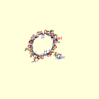 C/C=C/C[C@@H](C)C[C@H]1C(=O)N[C@@H](CC)C(=O)N(C)[C@H](CSCCN2CCNCC2)C(=O)N(C)[C@@H](CC(C)(C)O)C(=O)N[C@H](C(C)C)C(=O)N(C)[C@H](CC(C)C)C(=O)N[C@H](C)C(=O)N[C@@H](C)C(=O)N(C)[C@@H](CC(C)C)C(=O)N(C)[C@@H](CC(C)C)C(=O)N(C)[C@@H](C(C)C)C(=O)N1C